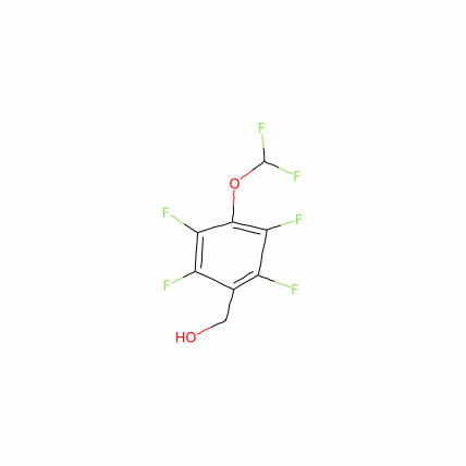 OCc1c(F)c(F)c(OC(F)F)c(F)c1F